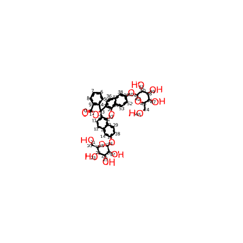 O=C1OC2(c3ccccc31)c1ccc3cc(OC4O[C@H](CO)[C@H](O)[C@H](O)[C@H]4O)ccc3c1Oc1c2ccc2cc(O[C@@H]3O[C@H](CO)[C@H](O)[C@H](O)[C@H]3O)ccc12